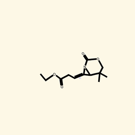 CCOC(=O)C/C=C1/C2N1C(=O)OCC2(C)C